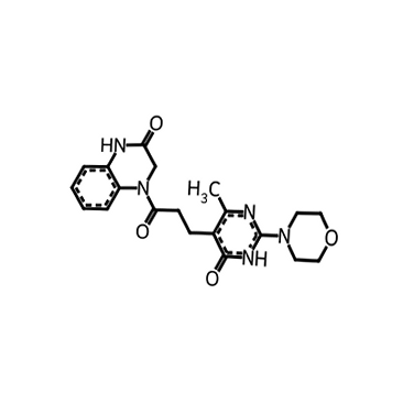 Cc1nc(N2CCOCC2)[nH]c(=O)c1CCC(=O)N1CC(=O)Nc2ccccc21